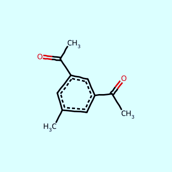 CC(=O)c1cc(C)cc(C(C)=O)c1